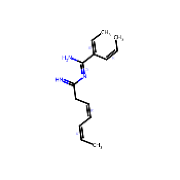 C/C=C\C=C/CC(=N)/N=C(N)/C(/C=C\C)=C/C